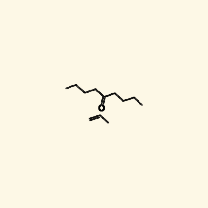 C=CC.CCCCC(=O)CCCC